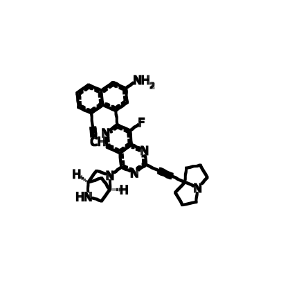 C#Cc1cccc2cc(N)cc(-c3ncc4c(N5C[C@H]6C[C@@H]5CN6)nc(C#CC56CCCN5CCC6)nc4c3F)c12